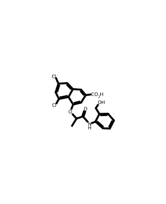 CC(Oc1cc(C(=O)O)cc2cc(Cl)cc(Cl)c12)C(=O)Nc1ccccc1CO